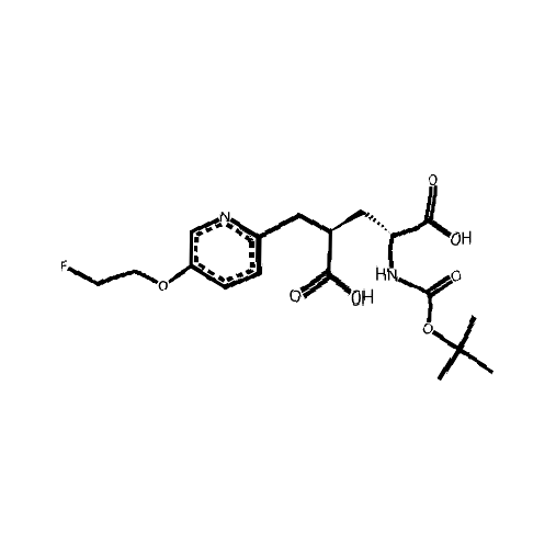 CC(C)(C)OC(=O)N[C@H](C[C@H](Cc1ccc(OCCF)cn1)C(=O)O)C(=O)O